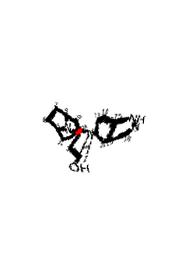 OCCCN1C2CCC1CC(Nc1ccc3[nH]ncc3c1)C2